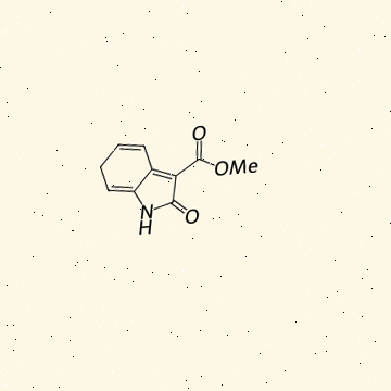 COC(=O)C1=C2C=CCC=C2NC1=O